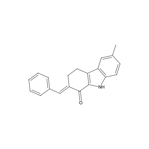 Cc1ccc2[nH]c3c(c2c1)CC/C(=C\c1ccccc1)C3=O